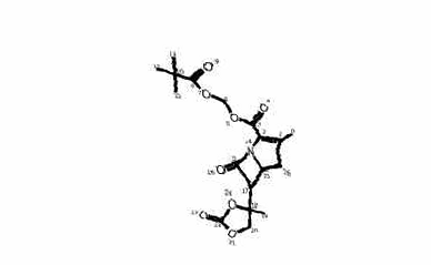 CC1=C(C(=O)OCOC(=O)C(C)(C)C)N2C(=O)C(C3(C)COC(=O)O3)C2C1